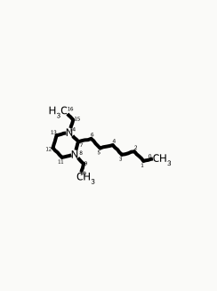 CCCCCCCC1N(CC)CCCN1CC